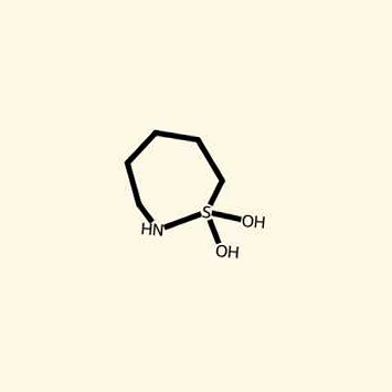 OS1(O)CCCCCN1